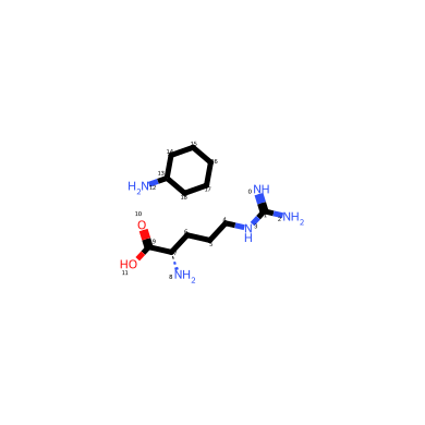 N=C(N)NCCC[C@H](N)C(=O)O.NC1CCCCC1